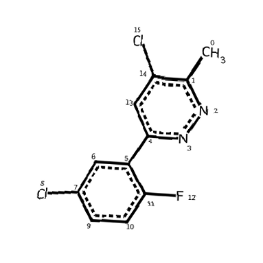 Cc1nnc(-c2cc(Cl)ccc2F)cc1Cl